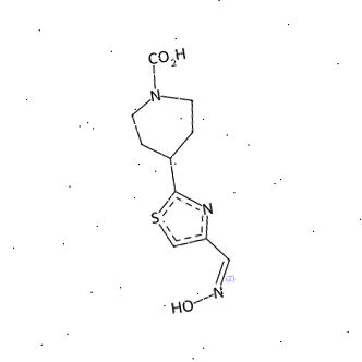 O=C(O)N1CCC(c2nc(/C=N\O)cs2)CC1